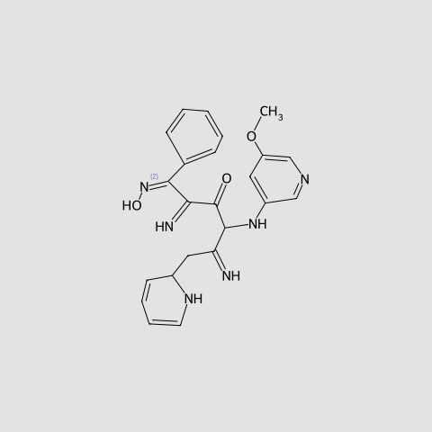 COc1cncc(NC(C(=N)CC2C=CC=CN2)C(=O)C(=N)/C(=N\O)c2ccccc2)c1